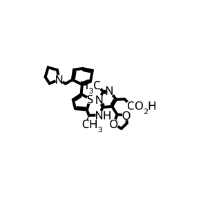 Cc1nc(CC(=O)O)c(C2OCCO2)c(N[C@H](C)c2ccc(-c3ccccc3CN3CCCC3)s2)n1